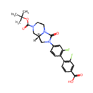 CC(C)(C)OC(=O)N1CCN2C(=O)N(c3ccc(-c4ccc(C(=O)O)cc4F)c(F)c3)C[C@@H]2C1